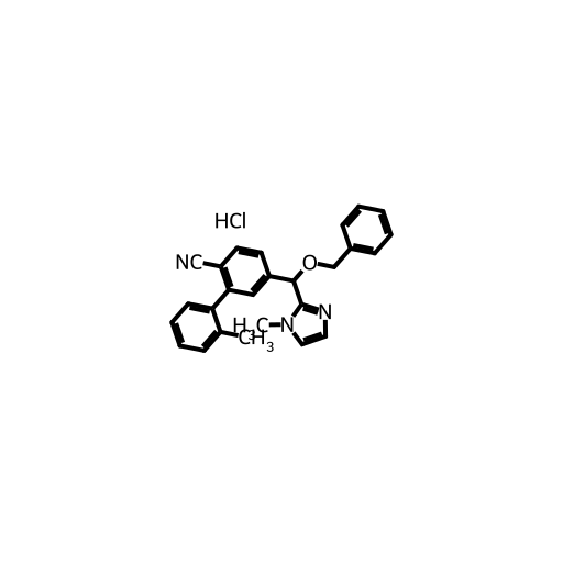 Cc1ccccc1-c1cc(C(OCc2ccccc2)c2nccn2C)ccc1C#N.Cl